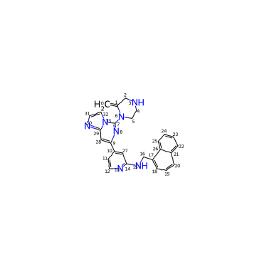 C=C1CNCCN1c1nc(-c2ccnc(NCc3cccc4ccccc34)c2)cc2nccn12